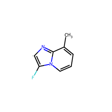 Cc1cccn2c(F)[c]nc12